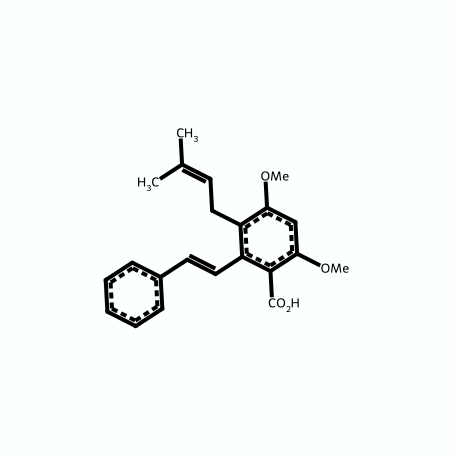 COc1cc(OC)c(C(=O)O)c(C=Cc2ccccc2)c1CC=C(C)C